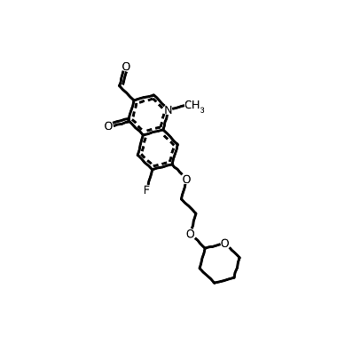 Cn1cc(C=O)c(=O)c2cc(F)c(OCCOC3CCCCO3)cc21